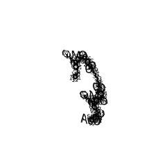 COCCCn1c2ccc(CC3CCCC3)cc2c2cc(C(=O)c3ccc(OC(=O)CCCCCCCC(=O)Oc4ccc(C(=O)c5ccc6c(c5)c5cc(C(=O)/C(CC7CCCC7)=N/OC(C)=O)ccc5n6CCCOC)cc4)cc3)ccc21